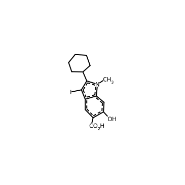 Cn1c(C2CCCCC2)c(I)c2cc(C(=O)O)c(O)cc21